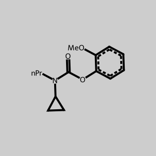 CCCN(C(=O)Oc1ccccc1OC)C1CC1